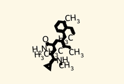 C/C=C\c1c(C)cccc1CC(/C=C(\C=C(/C)C(NC)=C1CC1)C(N)=O)=C(/C)CC